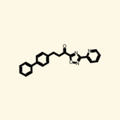 O=C(CCc1ccc(-c2ccccc2)cc1)c1nc(-c2ccccn2)no1